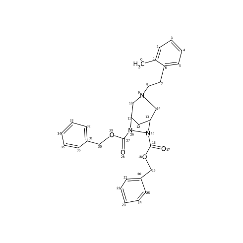 Cc1ccccc1CCN1CC2CC(C1)N(C(=O)OCc1ccccc1)N2C(=O)OCc1ccccc1